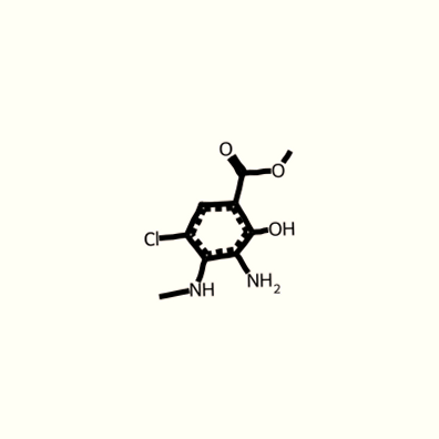 CNc1c(Cl)cc(C(=O)OC)c(O)c1N